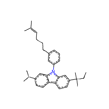 CCC(C)(C)c1ccc2c3ccc(C(C)C)cc3n(-c3cccc(CCCC=C(C)C)c3)c2c1